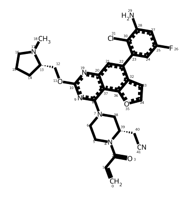 C=CC(=O)N1CCN(c2nc(OC[C@@H]3CCCN3C)nc3cc(-c4cc(F)cc(N)c4Cl)c4ccoc4c23)C[C@@H]1CC#N